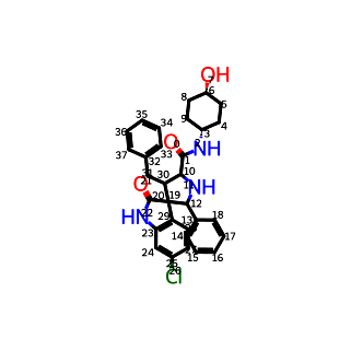 O=C(N[C@H]1CC[C@H](O)CC1)C1NC(c2ccccc2)C2(C(=O)Nc3cc(Cl)ccc32)C1Cc1ccccc1